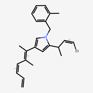 C=C/C=C\C(C)=C(/C)c1cc(C(C)/C=C\CC)n(Cc2ccccc2C)c1